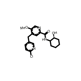 COc1cnc(C(=O)NC2CCCC[C@@H]2O)cc1Cc1ccc(Cl)nc1